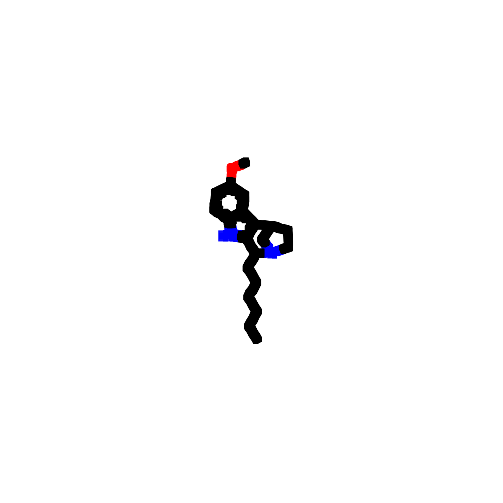 CCCCCCC1c2[nH]c3ccc(OC)cc3c2C2CCN1C2